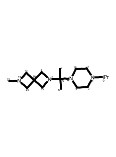 CC(C)N1CCN(C(C)(C)N2CC3(CN(C)C3)C2)CC1